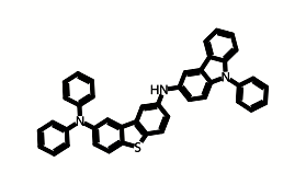 c1ccc(N(c2ccccc2)c2ccc3sc4ccc(Nc5ccc6c(c5)c5ccccc5n6-c5ccccc5)cc4c3c2)cc1